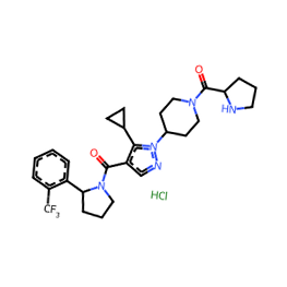 Cl.O=C(C1CCCN1)N1CCC(n2ncc(C(=O)N3CCCC3c3ccccc3C(F)(F)F)c2C2CC2)CC1